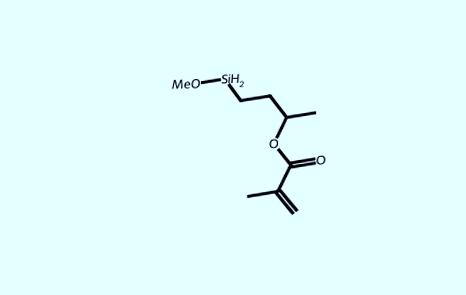 C=C(C)C(=O)OC(C)CC[SiH2]OC